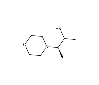 CC(S)[C@@H](C)N1CCOCC1